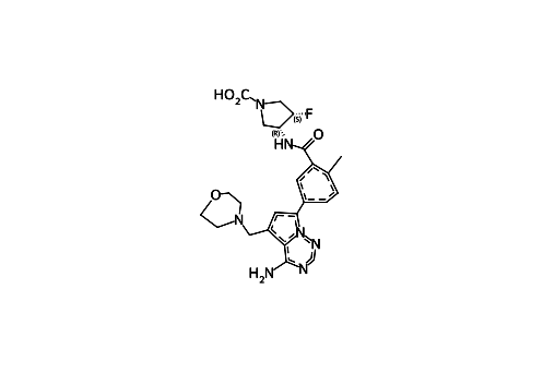 Cc1ccc(-c2cc(CN3CCOCC3)c3c(N)ncnn23)cc1C(=O)N[C@@H]1CN(C(=O)O)C[C@@H]1F